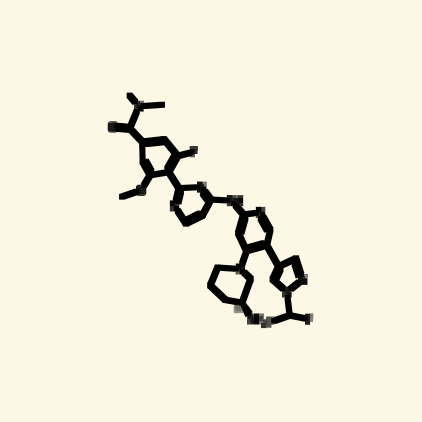 COc1cc(C(=O)N(C)C)cc(F)c1-c1nccc(Nc2cc(N3CCC[C@H](N)C3)c(-c3cnn(C(F)F)c3)cn2)n1